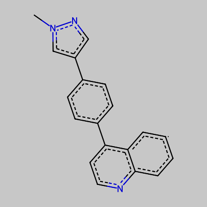 Cn1cc(-c2ccc(-c3ccnc4cc[c]cc34)cc2)cn1